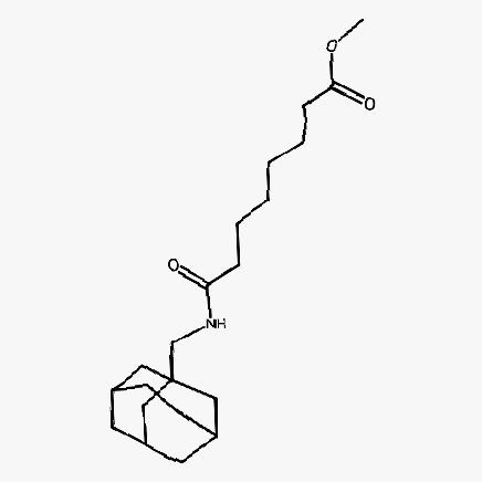 COC(=O)CCCCCCC(=O)NCC12CC3CC(CC(C3)C1)C2